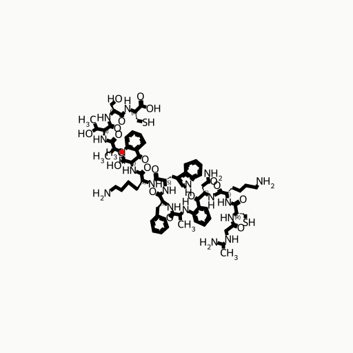 CC(N)NCC(=O)N[C@@H](CS)C(=O)N[C@@H](CCCCN)C(=O)N[C@@H](CC(N)=O)C(=O)c1ccccc1NC(C)C(=O)N[C@@H](Cc1ccccc1)C(=O)N[C@@H](Cc1c[nH]c2ccccc12)C(=O)N[C@@H](CCCCN)C(=O)N[C@H](C(=O)c1ccccc1NC(C)C(=O)N[C@H](C(=O)N[C@@H](CO)C(=O)N[C@@H](CS)C(=O)O)C(C)O)C(C)O